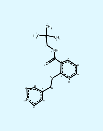 CC(C)(C)CNC(=O)c1cccnc1SCc1ccncc1